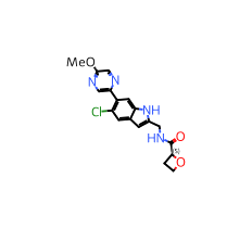 COc1cnc(-c2cc3[nH]c(CNC(=O)[C@@H]4CCO4)cc3cc2Cl)cn1